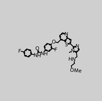 COCCNCc1cnc(-c2cc3nccc(COc4ccc(NC(=O)Nc5ccc(F)cc5)cc4F)c3s2)n1C